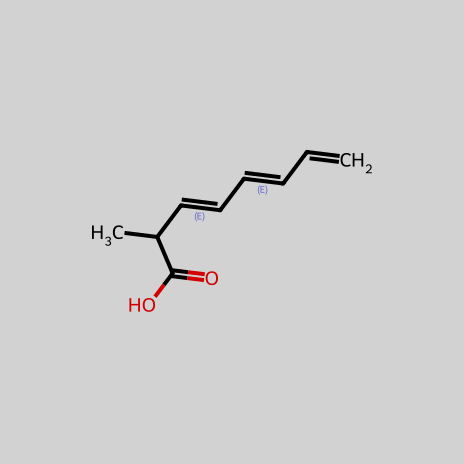 C=C/C=C/C=C/C(C)C(=O)O